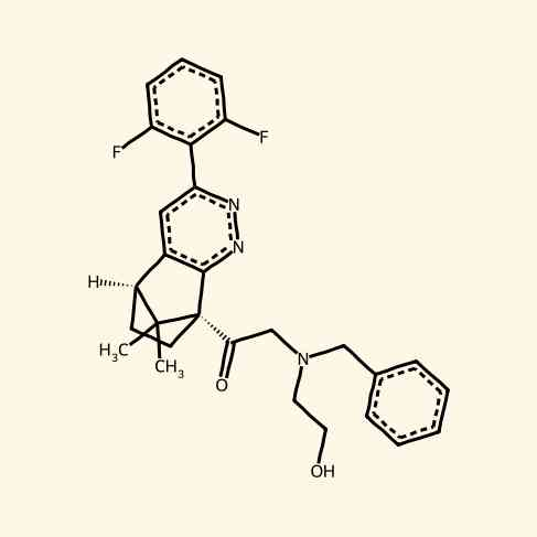 CC1(C)[C@H]2CC[C@]1(C(=O)CN(CCO)Cc1ccccc1)c1nnc(-c3c(F)cccc3F)cc12